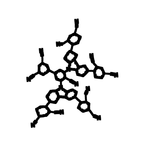 N#Cc1cc(C#N)cc(-c2cc(-n3c4ccc(-c5ccc(C#N)cc5C#N)cc4c4cc(-c5ccc(C#N)cc5C#N)ccc43)c(C#N)c(-n3c4ccc(-c5ccc(C#N)cc5C#N)cc4c4cc(-c5ccc(C#N)cc5C#N)ccc43)c2)c1